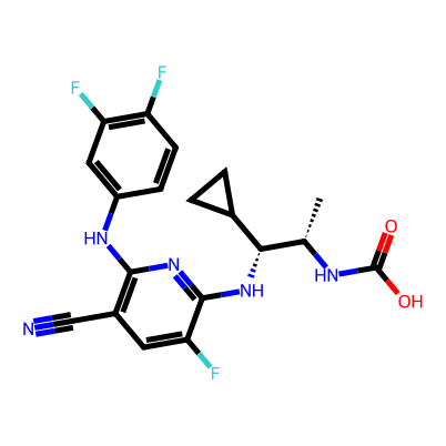 C[C@H](NC(=O)O)[C@H](Nc1nc(Nc2ccc(F)c(F)c2)c(C#N)cc1F)C1CC1